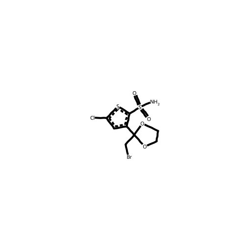 NS(=O)(=O)c1sc(Cl)cc1C1(CBr)OCCO1